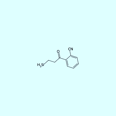 N#Cc1ccccc1C(=O)CC[SiH3]